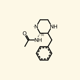 CC(=O)N[C@@H]1[N]CCNC1Cc1ccccc1